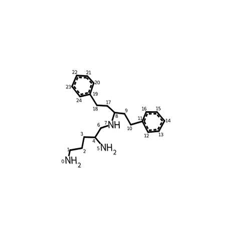 NCCCC(N)CNC(CCc1ccccc1)CCc1ccccc1